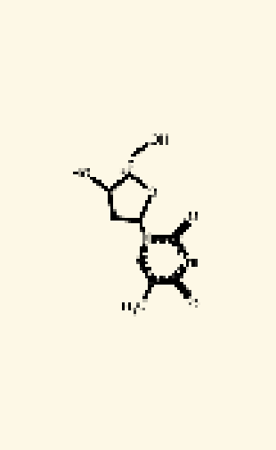 Cc1cn(C2CC(O)[C@H](CO)O2)c(=O)[nH]c1=O